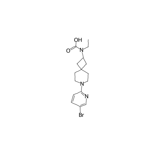 CCN(C(=O)O)C1CC2(CCN(c3ccc(Br)cn3)CC2)C1